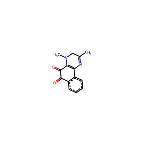 CC1=NC2=C(C(=O)C(=O)c3ccccc32)N(C)C1